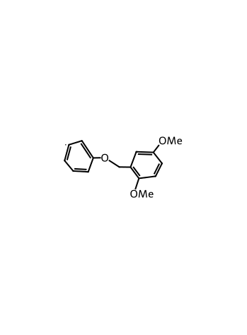 COc1ccc(OC)c(COc2c[c]ccc2)c1